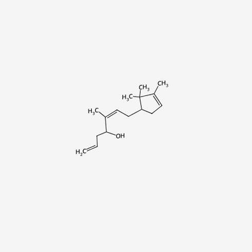 C=CCC(O)C(C)=CCC1CC=C(C)C1(C)C